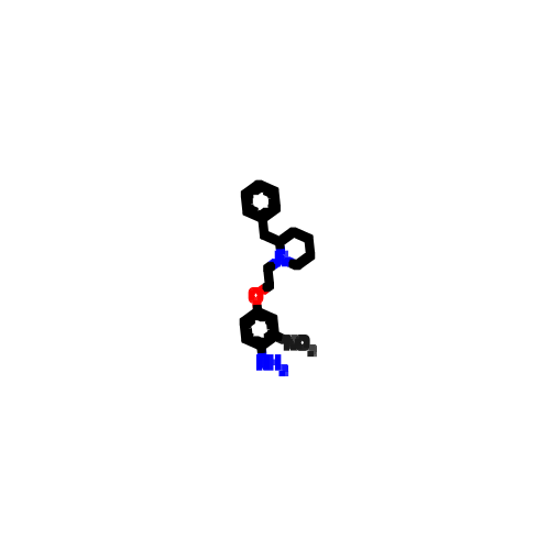 Nc1ccc(OCCN2CCCCC2Cc2ccccc2)cc1[N+](=O)[O-]